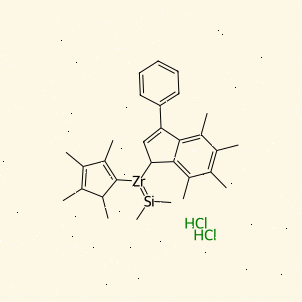 CC1=C(C)C(C)[C]([Zr]([CH]2C=C(c3ccccc3)c3c(C)c(C)c(C)c(C)c32)=[Si](C)C)=C1C.Cl.Cl